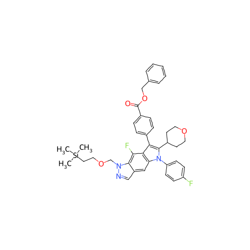 C[Si](C)(C)CCOCn1ncc2cc3c(c(-c4ccc(C(=O)OCc5ccccc5)cc4)c(C4CCOCC4)n3-c3ccc(F)cc3)c(F)c21